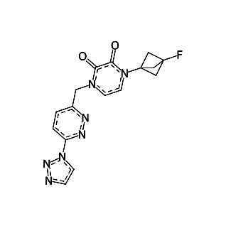 O=c1c(=O)n(C23CC(F)(C2)C3)ccn1Cc1ccc(-n2ccnn2)nn1